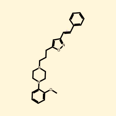 COc1ccccc1N1CCN(CCCc2cc(/C=C/c3ccccc3)no2)CC1